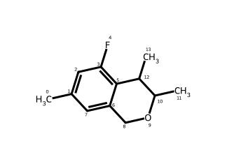 Cc1cc(F)c2c(c1)COC(C)C2C